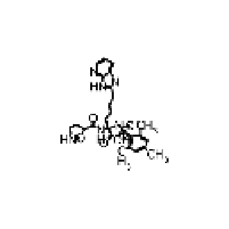 Cc1cc(C)c(S(=O)(=O)NC(CCCCc2nc3cccnc3[nH]2)(NC(=O)C2CCNO2)C(=O)O)c(C)c1